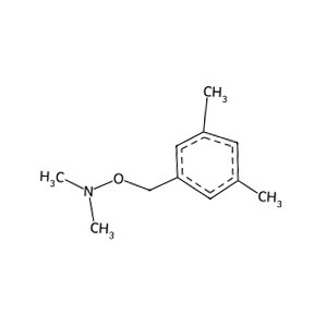 Cc1cc(C)cc(CON(C)C)c1